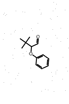 CC(C)(C)C(C=O)Oc1ccccc1